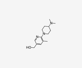 Cc1cc(CO)cnc1N1CCC(N(C)C)CC1